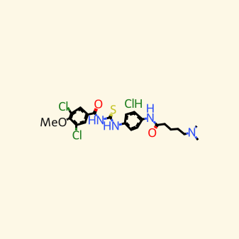 COc1c(Cl)cc(C(=O)NC(=S)Nc2ccc(NC(=O)CCCCN(C)C)cc2)cc1Cl.Cl